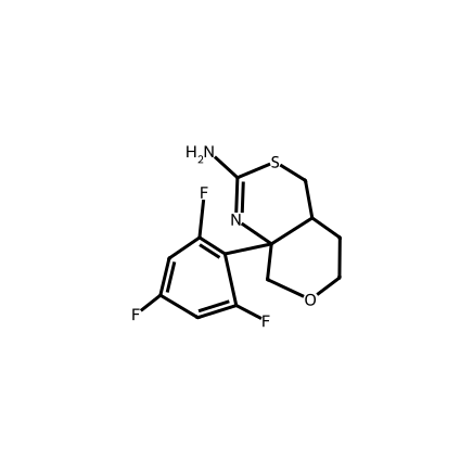 NC1=NC2(c3c(F)cc(F)cc3F)COCCC2CS1